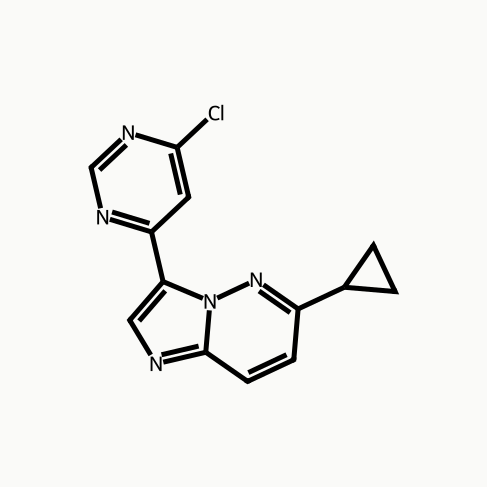 Clc1cc(-c2cnc3ccc(C4CC4)nn23)ncn1